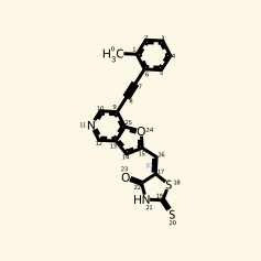 Cc1ccccc1C#Cc1cncc2cc(/C=C3/SC(=S)NC3=O)oc12